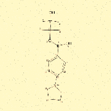 CC(C)(O)C(C)(C)OB(O)c1ccc(N2CCCC2)nc1